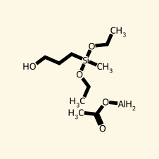 CC(=O)[O][AlH2].CCO[Si](C)(CCCO)OCC